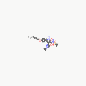 C[C@@]1(c2ccc(OCCCCCC(F)(F)F)cc2F)CC(c2ccn(C3CC3)n2)=C(C(=O)NS(=O)(=O)C2CC2)C(=O)N1